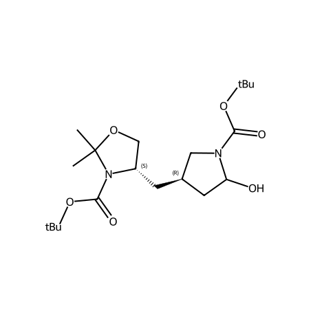 CC(C)(C)OC(=O)N1C[C@H](C[C@H]2COC(C)(C)N2C(=O)OC(C)(C)C)CC1O